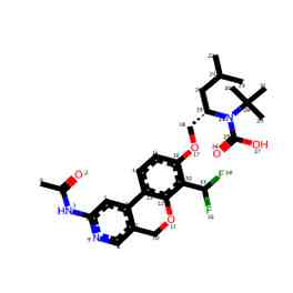 CC(=O)Nc1cc2c(cn1)COc1c-2ccc(OC[C@H](CC(C)C)N(C(=O)O)C(C)(C)C)c1C(F)F